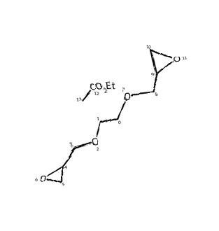 C(COCC1CO1)OCC1CO1.CCOC(C)=O